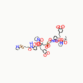 CCC(C)(C)C(=O)C(=O)N1CCCC[C@H]1C(=O)O[C@H](CCc1ccc(OC)c(OC)c1)c1cccc(NC(=O)CSS(=O)(=O)CCC(C)(CC)C(=O)C(=O)N2CCCC[C@H]2C(=O)O[C@H](CCc2ccc(OC)c(OC)c2)c2cccc(NC(=O)CCCSSc3ccccn3)c2)c1